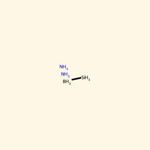 B.C[SiH3].N.N